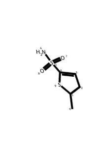 CC1CC=C(S(N)(=O)=O)S1